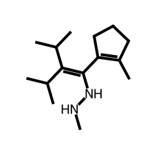 CNNC(C1=C(C)CCC1)=C(C(C)C)C(C)C